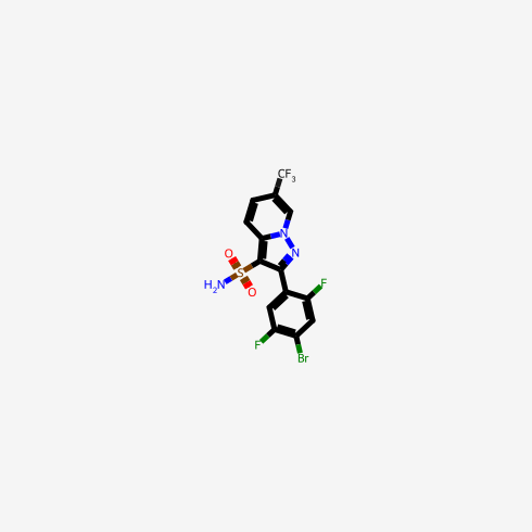 NS(=O)(=O)c1c(-c2cc(F)c(Br)cc2F)nn2cc(C(F)(F)F)ccc12